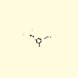 COCCOc1cc(C=O)cc(OC(=O)C(C)(C)C)c1